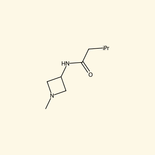 CC(C)CC(=O)NC1CN(C)C1